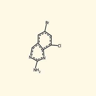 Nc1ncc2cc(Br)cc(Cl)c2n1